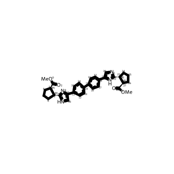 COC(=O)[C@@H]1CCC[C@H]1c1nc(-c2ccc(-c3ccc(-c4cnc([C@@H]5CCC[C@H]5C(=O)OC)[nH]4)cc3)cc2)c[nH]1